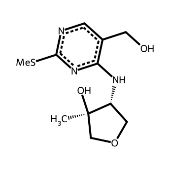 CSc1ncc(CO)c(N[C@@H]2COC[C@@]2(C)O)n1